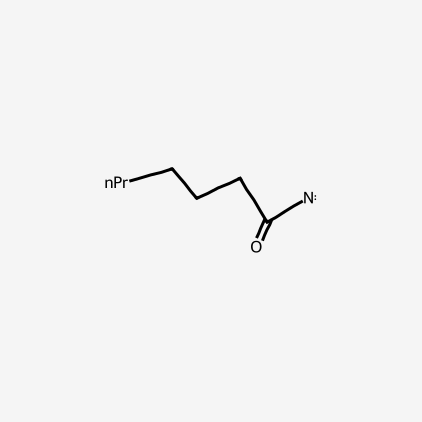 CCCCCCC([N])=O